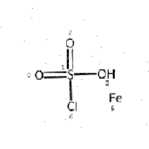 O=S(=O)(O)Cl.[Fe]